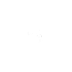 [B].[Ba].[Pb].[Si].[Zn]